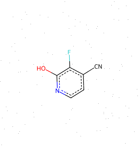 N#Cc1ccnc(O)c1F